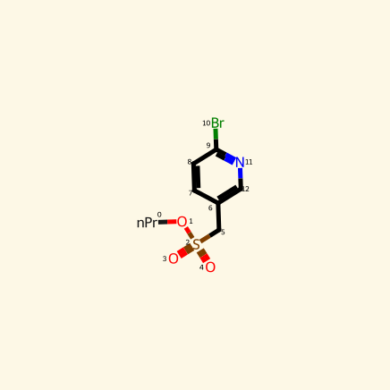 CCCOS(=O)(=O)Cc1ccc(Br)nc1